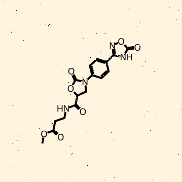 COC(=O)CCNC(=O)C1CN(c2ccc(-c3noc(=O)[nH]3)cc2)C(=O)O1